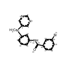 CN(c1cncnc1)c1cccc(NC(=O)c2cccc(Br)c2)c1